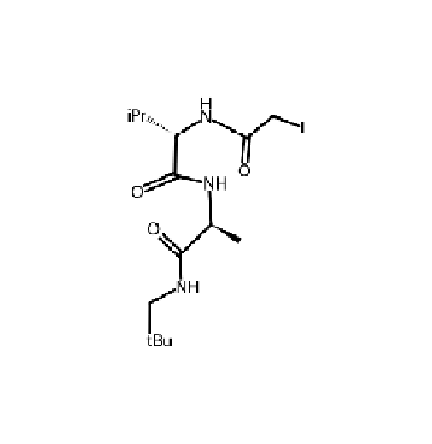 CC(C)[C@H](NC(=O)CI)C(=O)N[C@@H](C)C(=O)NCC(C)(C)C